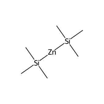 C[Si](C)(C)[Zn][Si](C)(C)C